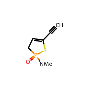 C#CC1=CCP(=O)(NC)S1